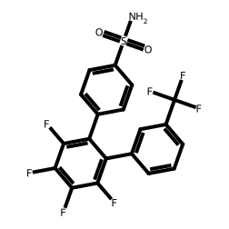 NS(=O)(=O)c1ccc(-c2c(F)c(F)c(F)c(F)c2-c2cccc(C(F)(F)F)c2)cc1